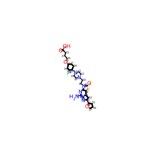 Nc1nc2c(sc(=O)n2CCN2CCN(c3ccc(OCCCC(=O)O)cc3F)CC2)c2cc(-c3ccco3)nn12